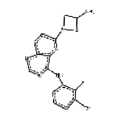 NC1CN(c2ccc3ncnc(Nc4cccc(Br)c4F)c3n2)C1